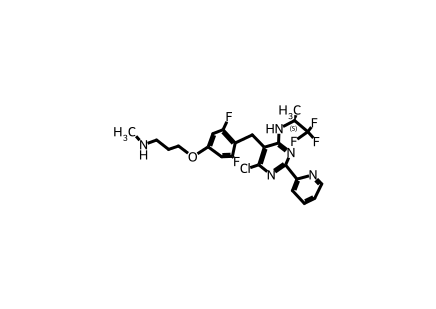 CNCCCOc1cc(F)c(Cc2c(Cl)nc(-c3ccccn3)nc2N[C@@H](C)C(F)(F)F)c(F)c1